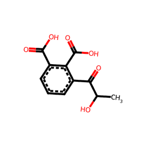 CC(O)C(=O)c1cccc(C(=O)O)c1C(=O)O